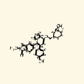 CN1CCC[C@@H](COc2cc(-c3ccc(C#N)cc3)c(-c3ccc4c(c3)CN(C)C4=O)n3cncc23)C1